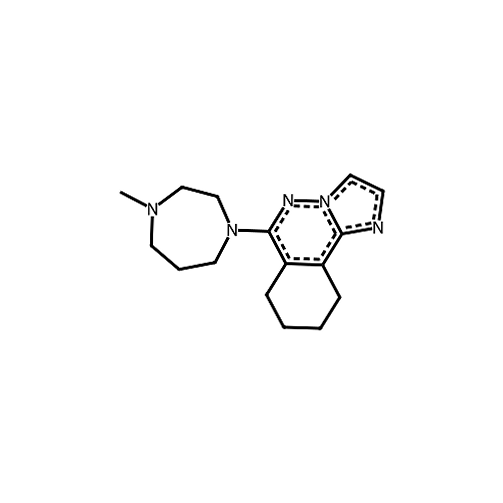 CN1CCCN(c2nn3ccnc3c3c2CCCC3)CC1